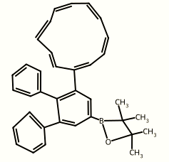 CC1(C)OB(c2cc(C3=C/C=C\C=C/C=C\C=C\C=C\3)c(-c3ccccc3)c(-c3ccccc3)c2)C1(C)C